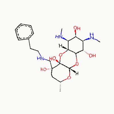 CN[C@@H]1[C@H](O)[C@H](NC)[C@H]2O[C@]3(O)[C@H](OC2[C@H]1O)O[C@H](C)C[C@@]3(O)CNCCc1ccccc1